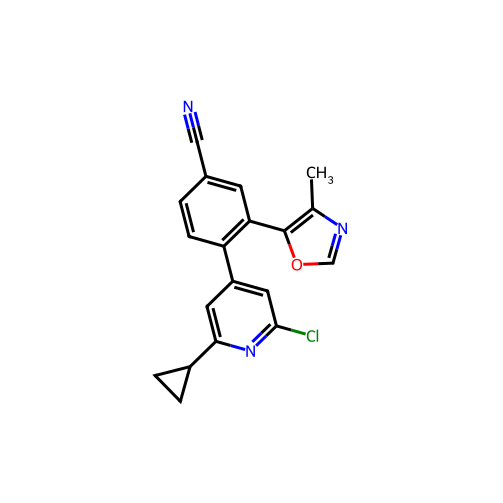 Cc1ncoc1-c1cc(C#N)ccc1-c1cc(Cl)nc(C2CC2)c1